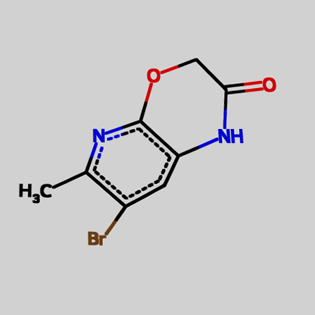 Cc1nc2c(cc1Br)NC(=O)CO2